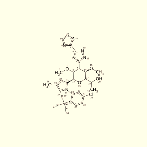 COC1C(n2cc(-c3nccs3)nn2)[C@@H](OC)C(C(C)O)O[C@H]1c1cc(C)nn1-c1cc(Cl)ccc1C(F)(F)F